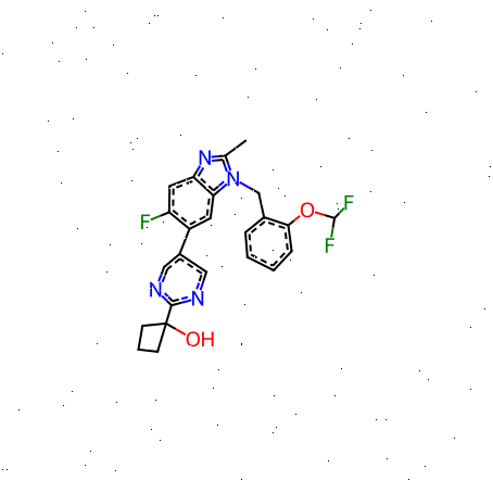 Cc1nc2cc(F)c(-c3cnc(C4(O)CCC4)nc3)cc2n1Cc1ccccc1OC(F)F